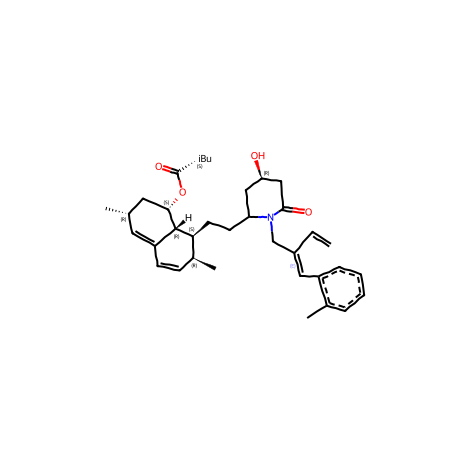 C=C/C(=C\c1ccccc1C)CN1C(=O)C[C@H](O)CC1CC[C@@H]1[C@@H]2C(=C[C@H](C)C[C@@H]2OC(=O)[C@@H](C)CC)C=C[C@@H]1C